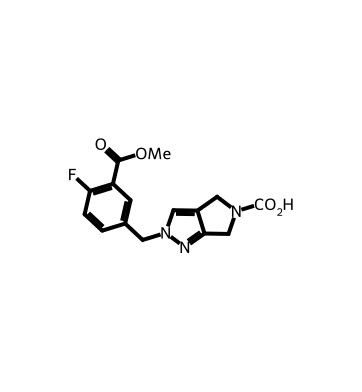 COC(=O)c1cc(Cn2cc3c(n2)CN(C(=O)O)C3)ccc1F